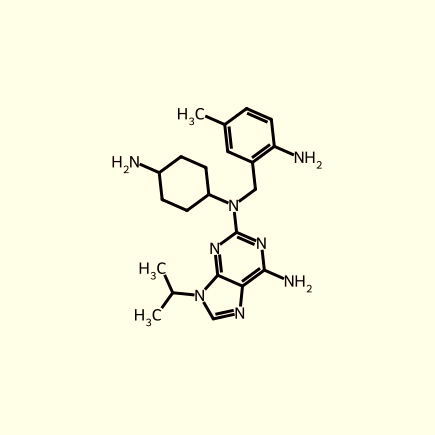 Cc1ccc(N)c(CN(c2nc(N)c3ncn(C(C)C)c3n2)C2CCC(N)CC2)c1